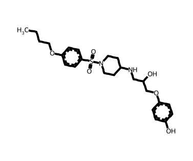 CCCCOc1ccc(S(=O)(=O)N2CCC(NCC(O)COc3ccc(O)cc3)CC2)cc1